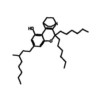 CCCCCCC1(CCCCCC)Oc2cc(CCC(C)CCCCC)cc(O)c2C2=C1N1CCC2CC1